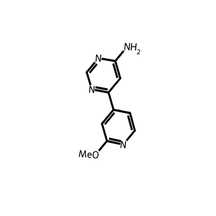 COc1cc(-c2cc(N)ncn2)ccn1